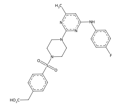 Cc1cc(Nc2ccc(F)cc2)nc(N2CCN(S(=O)(=O)c3ccc(CC(=O)O)cc3)CC2)n1